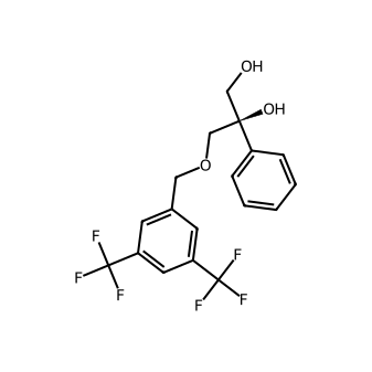 OC[C@@](O)(COCc1cc(C(F)(F)F)cc(C(F)(F)F)c1)c1ccccc1